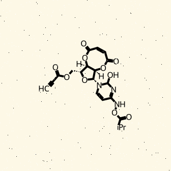 C#CC(=O)OC[C@H]1O[C@@H](N2C=CC(NOC(=O)C(C)C)=NC2O)[C@@H]2OC(=O)/C=C\C(=O)O[C@@H]21